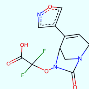 O=C1N2CC=C(c3cnoc3)C(C2)N1OC(F)(F)C(=O)O